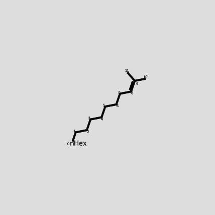 CCCCCCCCCCCCC[C]=C(C)C